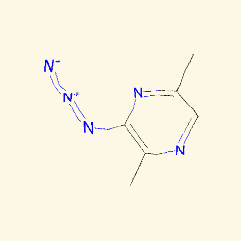 Cc1cnc(C)c(N=[N+]=[N-])n1